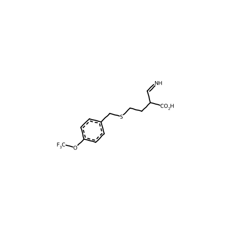 N=CC(CCSCc1ccc(OC(F)(F)F)cc1)C(=O)O